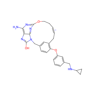 Nc1nc2nc3c1nc(O)n3Cc1ccc(Oc3cccc(CNC4CC4)c3)c(c1)C/C=C\CCO2